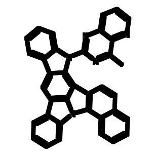 Cc1nc(-n2c3ccccc3c3cc4c5ccccc5n5c6c7ccccc7ccc6c(c32)c45)nc2cccnc12